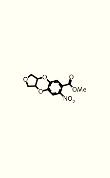 COC(=O)c1cc2c(cc1[N+](=O)[O-])OC1COCC1O2